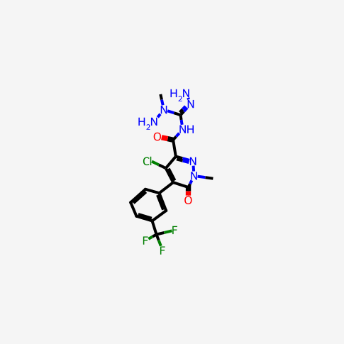 CN(N)/C(=N\N)NC(=O)c1nn(C)c(=O)c(-c2cccc(C(F)(F)F)c2)c1Cl